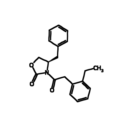 CCc1ccccc1CC(=O)N1C(=O)OC[C@H]1Cc1ccccc1